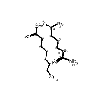 CCCCCCCC(=O)O.CCOC(=O)[C@@H](N)CCCNC(=N)N